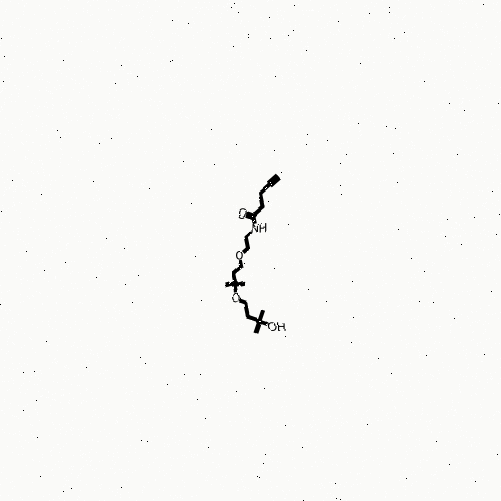 C#CCCC(=O)NCCOCCC(C)(C)OCCC(C)(C)O